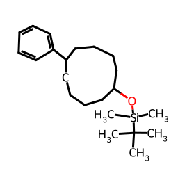 CC(C)(C)[Si](C)(C)OC1CCCCC(c2ccccc2)CCCC1